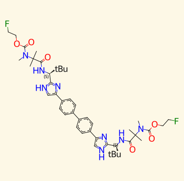 CN(C(=O)OCCF)C(C)(C)C(=O)N[C@H](c1nc(-c2ccc(-c3ccc(-c4c[nH]c([C@@H](NC(=O)C(C)(C)N(C)C(=O)OCCF)C(C)(C)C)n4)cc3)cc2)c[nH]1)C(C)(C)C